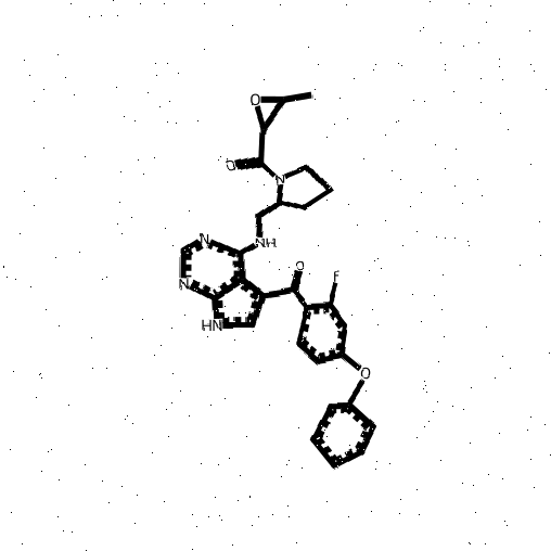 CC1OC1C(=O)N1CCCC1CNc1ncnc2[nH]cc(C(=O)c3ccc(Oc4ccccc4)cc3F)c12